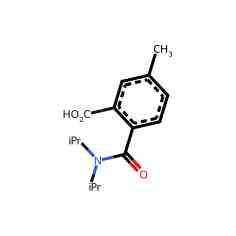 Cc1ccc(C(=O)N(C(C)C)C(C)C)c(C(=O)O)c1